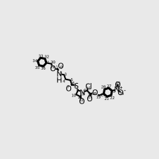 O=C(NCCCC(=O)S[C@@H]1CC(=O)N1C(Cl)C(=O)OCc1ccc([N+](=O)[O-])cc1)OCc1ccccc1